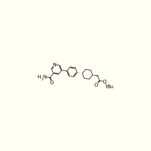 CC(C)(C)OC(=O)C[C@H]1CC[C@H](c2ccc(-c3cncc(C(N)=O)c3)cc2)CC1